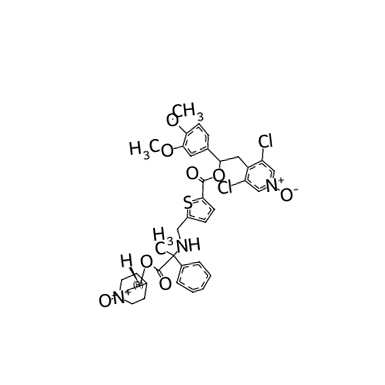 COc1ccc(C(Cc2c(Cl)c[n+]([O-])cc2Cl)OC(=O)c2ccc(CNC(C)(C(=O)O[C@H]3C[N+]4([O-])CCC3CC4)c3ccccc3)s2)cc1OC